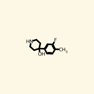 Cc1ccc(C2(O)CCNCC2)cc1F